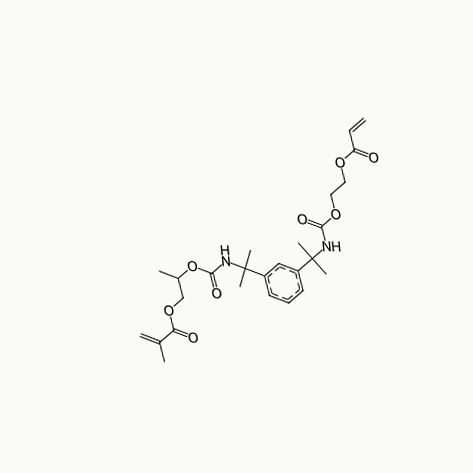 C=CC(=O)OCCOC(=O)NC(C)(C)c1cccc(C(C)(C)NC(=O)OC(C)COC(=O)C(=C)C)c1